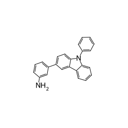 Nc1cccc(-c2ccc3c(c2)c2ccccc2n3-c2ccccc2)c1